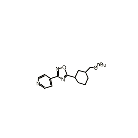 CCCCOCC1CCCC(c2nc(-c3ccncc3)no2)C1